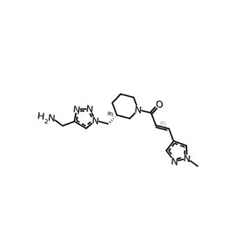 Cn1cc(/C=C/C(=O)N2CCC[C@@H](Cn3cc(CN)nn3)C2)cn1